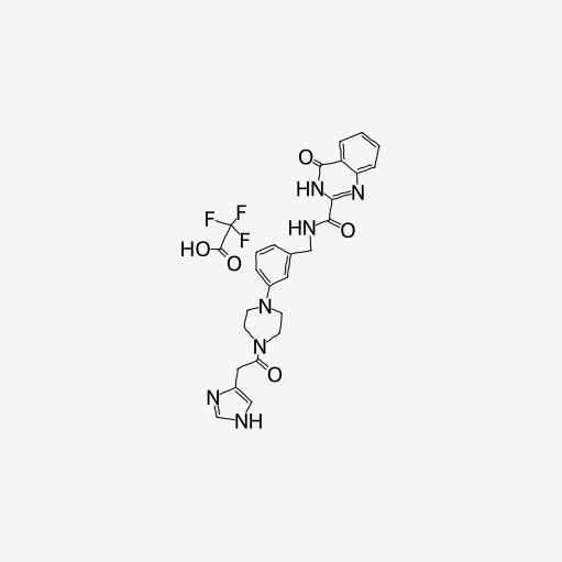 O=C(NCc1cccc(N2CCN(C(=O)Cc3c[nH]cn3)CC2)c1)c1nc2ccccc2c(=O)[nH]1.O=C(O)C(F)(F)F